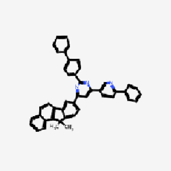 CC1(C)c2ccc(-c3cc(-c4ccc(-c5ccccc5)nc4)nc(-c4ccc(-c5ccccc5)cc4)n3)cc2-c2ccc3ccccc3c21